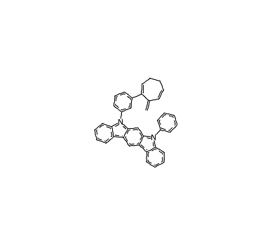 C=C1C=CCCC=C1c1cccc(-n2c3ccccc3c3cc4c5ccccc5n(-c5ccccc5)c4cc32)c1